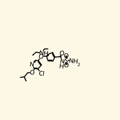 CC(C)COc1ncc(Oc2ccc(C(=O)NS(N)(=O)=O)cc2)cc1Cl.CCNCC